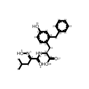 CC(C)CC(=NO)C(=O)N[C@@H](Cc1ccc(O)cc1Cc1ccccc1)C(=O)O